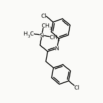 C[Si](C)(C)CC(Cc1ccc(Cl)cc1)=Nc1cccc(Cl)c1